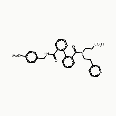 COc1ccc(CNC(=O)c2ccccc2-c2ccccc2C(=O)N(CCC(=O)O)CCc2cccnc2)cc1